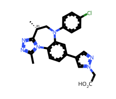 Cc1nnc2n1-c1ccc(-c3cnn(CC(=O)O)c3)cc1N(c1ccc(Cl)cc1)C[C@H]2C